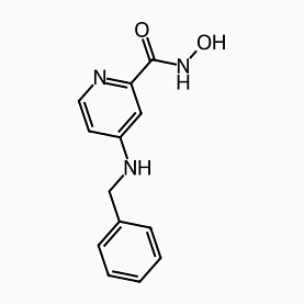 O=C(NO)c1cc(NCc2ccccc2)ccn1